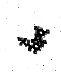 CCC(F)(F)CNC(=O)c1cc(C2(C(N)=O)C(c3cc(Cl)cc(Cl)c3)C2(Cl)Cl)ccc1Cl